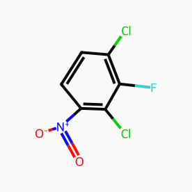 O=[N+]([O-])c1ccc(Cl)c(F)c1Cl